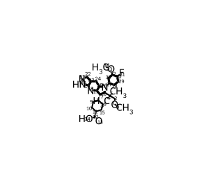 COCC(C)(C)c1c([C@H]2CC[C@H](C(=O)O)CC2)c2nc3[nH]ncc3cc2n1-c1ccc(F)c(OC)c1